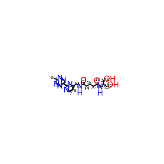 Cc1nnc(-c2nccc(CNC(=O)CCCC(=O)NC(CO)CO)n2)nn1